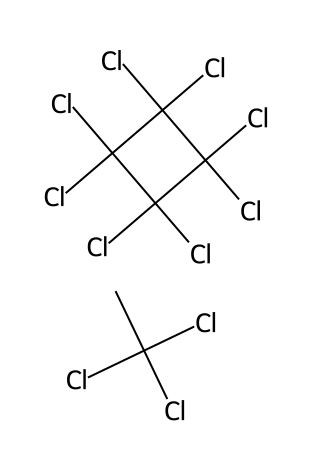 CC(Cl)(Cl)Cl.ClC1(Cl)C(Cl)(Cl)C(Cl)(Cl)C1(Cl)Cl